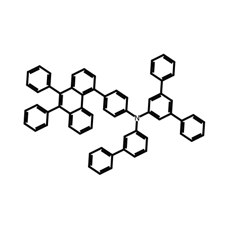 c1ccc(-c2cccc(N(c3ccc(-c4cccc5c(-c6ccccc6)c(-c6ccccc6)c6ccccc6c45)cc3)c3cc(-c4ccccc4)cc(-c4ccccc4)c3)c2)cc1